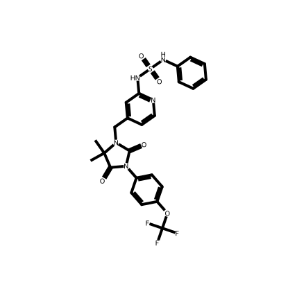 CC1(C)C(=O)N(c2ccc(OC(F)(F)F)cc2)C(=O)N1Cc1ccnc(NS(=O)(=O)Nc2ccccc2)c1